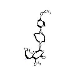 C/C=C\c1nc(N2CCN(c3ccc(OC)cc3)CC2)sc(=O)c1C